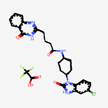 O=C(CCCc1nc2ccccc2c(=O)[nH]1)NC1CCC(n2c(=O)[nH]c3cc(Cl)ccc32)CC1.O=C(O)C(F)(F)F